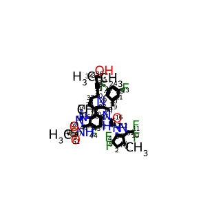 C[C@H]1CC(F)(F)c2c1c(C(F)F)nn2CC(=O)N[C@@H](Cc1cc(F)cc(F)c1)c1nc(C#CC(C)(C)O)ccc1-c1ccc(F)c2c(NS(C)(=O)=O)nn(C)c12